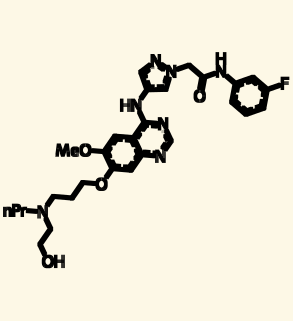 CCCN(CCO)CCCOc1cc2ncnc(Nc3cnn(CC(=O)Nc4cccc(F)c4)c3)c2cc1OC